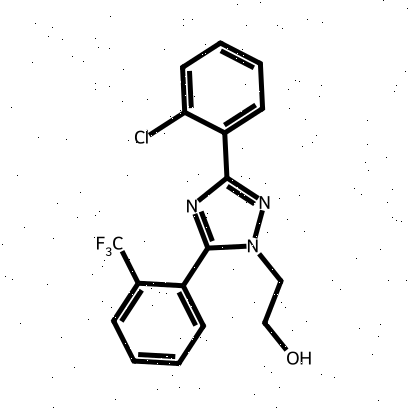 OCCn1nc(-c2ccccc2Cl)nc1-c1ccccc1C(F)(F)F